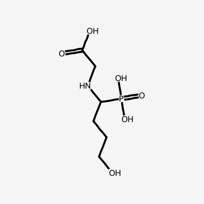 O=C(O)CNC(CCCO)P(=O)(O)O